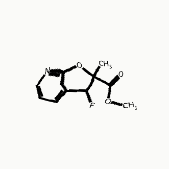 COC(=O)C1(C)Oc2ncccc2C1F